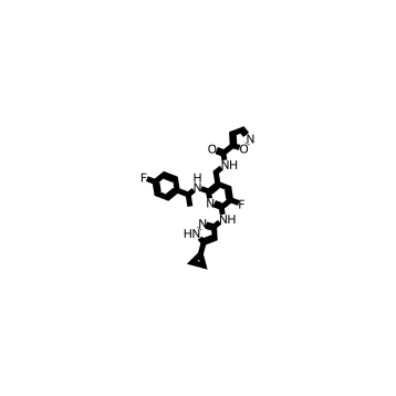 CC(Nc1nc(Nc2cc(C3CC3)[nH]n2)c(F)cc1CNC(=O)c1ccno1)c1ccc(F)cc1